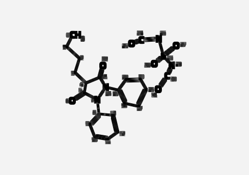 CCCCC1C(=O)N(c2ccccc2)N(c2ccccc2)C1=O.O=C=NS(=O)(=O)N=C=O